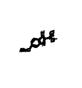 COc1ccc2[nH]c([S+]([O-])Cl)nc2c1